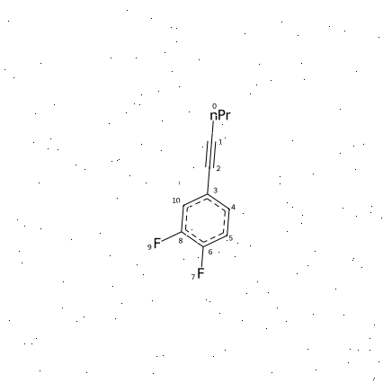 CCCC#Cc1ccc(F)c(F)c1